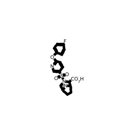 O=C(O)C1C2CCC(CN1S(=O)(=O)c1ccc(Oc3ccc(F)cc3)nc1)N2